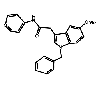 COc1ccc2c(c1)c(CC(=O)Nc1ccncc1)cn2Cc1ccccc1